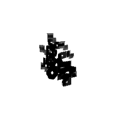 CC1c2cc3cnc(Cl)nc3n2C2(CCCCC2)C(C)(O)N1C(=O)OC(C)(C)C